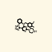 Cc1ccc(CN2c3ccccc3-n3nnnc3-c3cnc(N4CCNCC4)nc32)cc1F